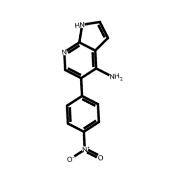 Nc1c(-c2ccc([N+](=O)[O-])cc2)cnc2[nH]ccc12